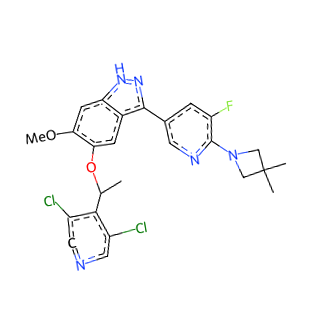 COc1cc2[nH]nc(-c3cnc(N4CC(C)(C)C4)c(F)c3)c2cc1OC(C)c1c(Cl)cncc1Cl